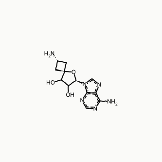 Nc1ncnc2c1ncn2[C@@H]1O[C@]2(C[C@H](N)C2)C(O)C1O